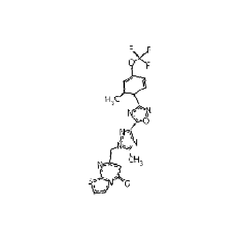 Cc1nc(-c2nc(C3C=CC(OC(F)(F)F)=CC3C)no2)nn1Cc1cc(=O)n2ccsc2n1